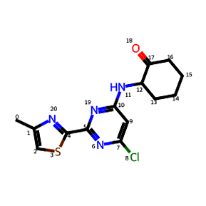 Cc1csc(-c2nc(Cl)cc(NC3CCCCC3=O)n2)n1